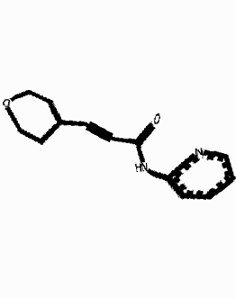 O=C(C#CC1CCOCC1)Nc1ccccn1